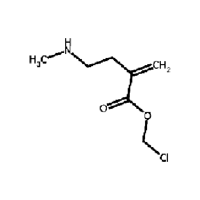 C=C(CCNC)C(=O)OCCl